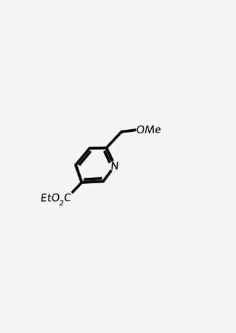 CCOC(=O)c1ccc(COC)nc1